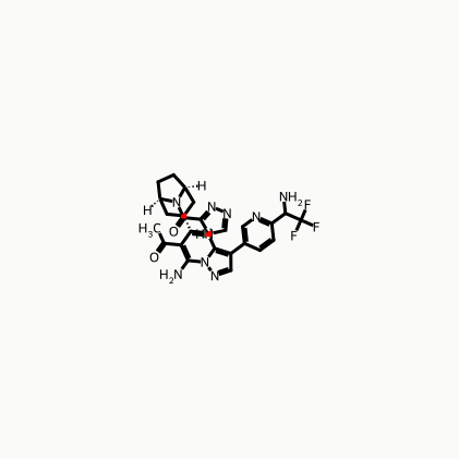 CC(=O)c1c([C@@H]2C[C@H]3CC[C@@H](C2)N3C(=O)c2nnc[nH]2)nc2c(-c3ccc(C(N)C(F)(F)F)nc3)cnn2c1N